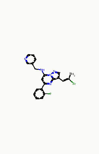 B/C(Br)=C\c1cnn2c(NCc3cccnc3)cc(-c3ccccc3F)nc12